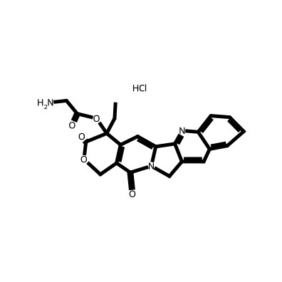 CCC1(OC(=O)CN)C(=O)OCc2c1cc1n(c2=O)Cc2cc3ccccc3nc2-1.Cl